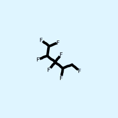 FCC(F)C(F)(F)C(F)C(F)F